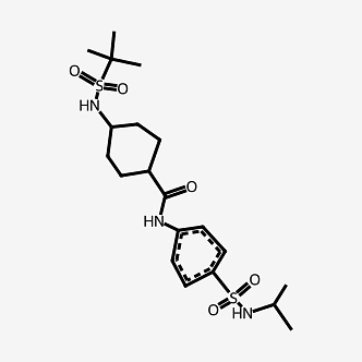 CC(C)NS(=O)(=O)c1ccc(NC(=O)C2CCC(NS(=O)(=O)C(C)(C)C)CC2)cc1